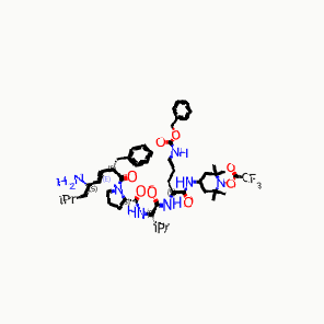 CC(C)C[C@H](N)/C=C/[C@H](Cc1ccccc1)C(=O)N1CCC[C@H]1C(=O)N[C@H](C(=O)N[C@@H](CCCNC(=O)OCc1ccccc1)C(=O)NC1CC(C)(C)N(OC(=O)C(F)(F)F)C(C)(C)C1)C(C)C